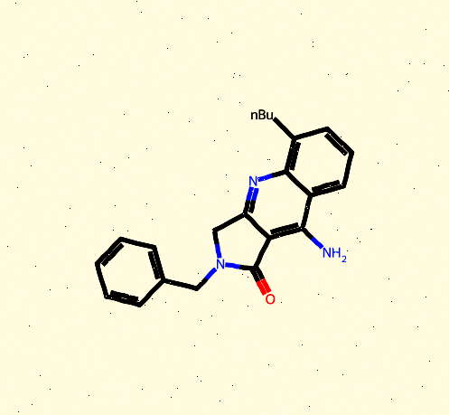 CCCCc1cccc2c(N)c3c(nc12)CN(Cc1ccccc1)C3=O